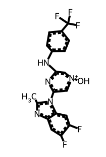 Cc1nc2cc(F)c(F)cc2n1-c1c[n+](O)cc(Nc2ccc(C(F)(F)F)cc2)n1